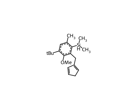 COc1c(C(C)(C)C)cc(C)c([SiH](C)C)c1CC1=CCC=C1